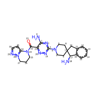 Nc1nc(N2CCC3(CC2)Cc2ccccc2[C@H]3N)nnc1C(=O)N1CCCn2nccc21